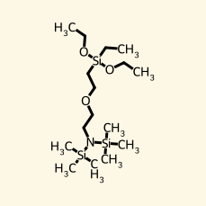 CCO[Si](CC)(CCOCCN([Si](C)(C)C)[Si](C)(C)C)OCC